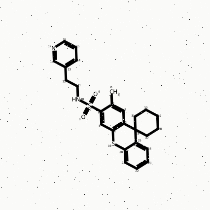 Cc1cc2c(cc1S(=O)(=O)NCCc1cccnc1)Sc1ccccc1C21CCCCC1